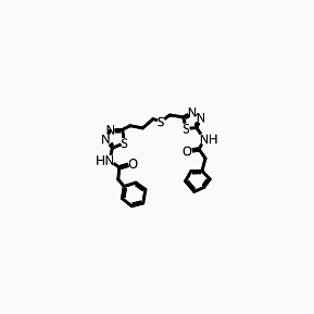 O=C(Cc1ccccc1)Nc1nnc(CCCSCc2nnc(NC(=O)Cc3ccccc3)s2)s1